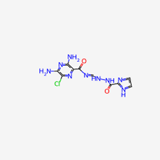 Nc1nc(N)c(C(=O)N=CNNC(=O)c2ncc[nH]2)nc1Cl